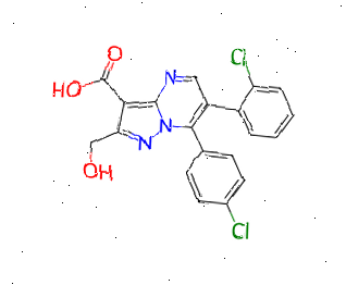 O=C(O)c1c(CO)nn2c(-c3ccc(Cl)cc3)c(-c3ccccc3Cl)cnc12